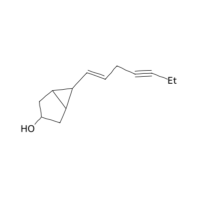 CCC#CC/C=C/C1C2CC(O)CC12